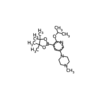 CC(C)Oc1ncc(N2CCN(C)CC2)cc1B1OC(C)(C)C(C)(C)O1